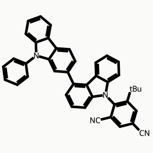 CC(C)(C)c1cc(C#N)cc(C#N)c1-n1c2ccccc2c2c(-c3ccc4c5ccccc5n(-c5ccccc5)c4c3)cccc21